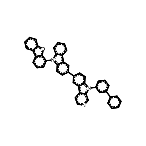 c1ccc(-c2cccc(-n3c4ccc(-c5ccc6c(c5)c5ccccc5n6-c5cccc6c5oc5ccccc56)cc4c4ccncc43)c2)cc1